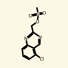 CS(=O)(=O)OCc1ncc2c(Cl)cccc2n1